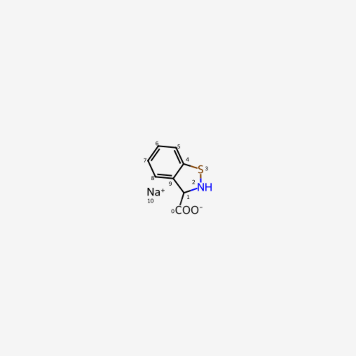 O=C([O-])C1NSc2ccccc21.[Na+]